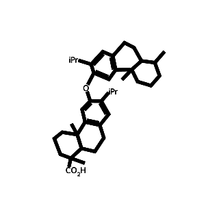 CC(C)c1cc2c(cc1Oc1cc3c(cc1C(C)C)CCC1C(C)(C(=O)O)CCCC31C)C1(C)CCCC(C)C1CC2